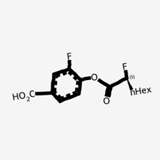 CCCCCC[C@H](F)C(=O)Oc1ccc(C(=O)O)cc1F